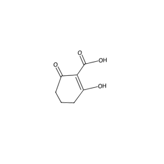 O=C(O)C1=C(O)CCCC1=O